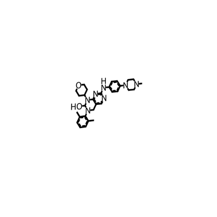 Cc1cccc(C)c1N1Cc2cnc(Nc3ccc(N4CCN(C)CC4)cc3)nc2N(C2CCOCC2)C1O